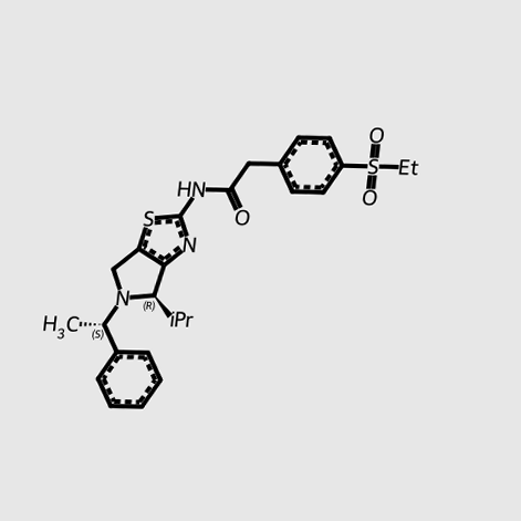 CCS(=O)(=O)c1ccc(CC(=O)Nc2nc3c(s2)CN([C@@H](C)c2ccccc2)[C@@H]3C(C)C)cc1